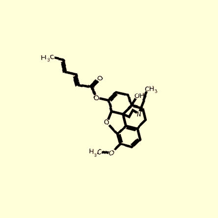 CC=CC=CC(=O)OC1=CCC2(O)C3Cc4ccc(OC)c5c4C2(CCN3C)C1O5